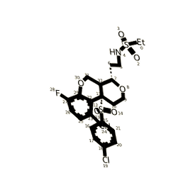 CCS(=O)(=O)NCC[C@@H]1OCC[C@@]2(S(=O)(=O)c3ccc(Cl)cc3)c3c(C)ccc(F)c3OCC12